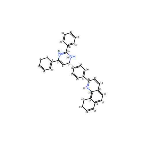 C1=CCCC(C2=C[C@@H](c3ccc(-c4ccc5ccc6c(c5n4)CCC=C6)cc3)NC(c3ccccc3)=N2)=C1